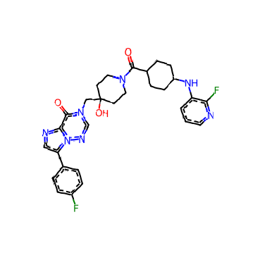 O=C(C1CCC(Nc2cccnc2F)CC1)N1CCC(O)(Cn2cnn3c(-c4ccc(F)cc4)cnc3c2=O)CC1